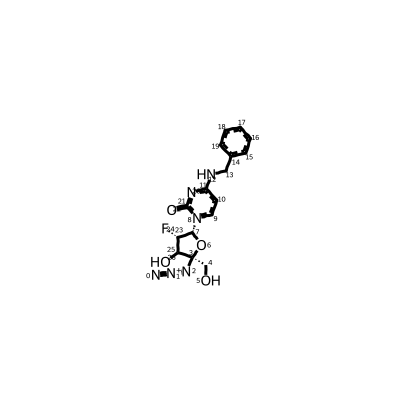 [N-]=[N+]=N[C@]1(CO)O[C@@H](n2ccc(NCc3ccccc3)nc2=O)[C@@H](F)C1O